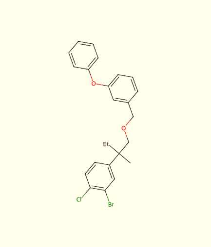 CCC(C)(COCc1cccc(Oc2ccccc2)c1)c1ccc(Cl)c(Br)c1